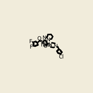 CCCCN(C(=O)c1ccc(F)c(F)c1)c1nc2n(c1C(=O)N1CCN(Cc3ccc(Cl)cc3)CC1)CCCC2